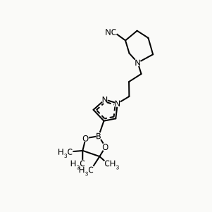 CC1(C)OB(c2cnn(CCCN3CCCC(C#N)C3)c2)OC1(C)C